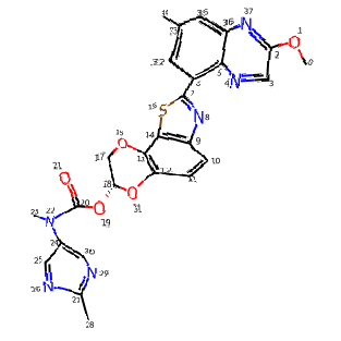 COc1cnc2c(-c3nc4ccc5c(c4s3)OC[C@@H](OC(=O)N(C)c3cnc(C)nc3)O5)cc(C)cc2n1